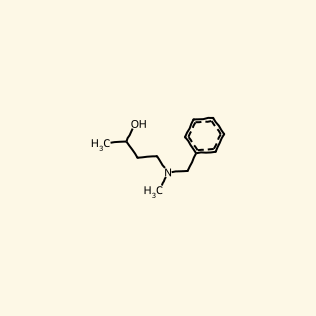 CC(O)CCN(C)Cc1ccccc1